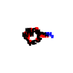 C=C1CC2CCC3C[C@H]4OC5C6O[C@H]7CCC(CC(=O)C[C@@H]8C[C@@H](CC(O)CN)OC8CC8OC(CCC8=C)CCC1O2)O[C@@H]7[C@@H]5OC3OC64